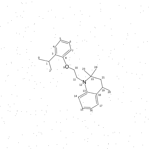 CC(C)c1ccccc1OCCN1c2ccccc2C(C)CC1(C)C